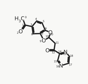 CC(=O)c1ccc2c(c1)OC(CC(=O)c1cnccn1)O2